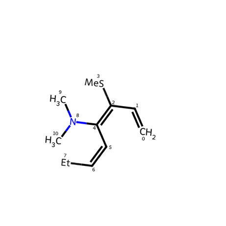 C=C/C(SC)=C(\C=C/CC)N(C)C